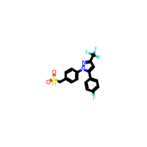 O=[SH](=O)Cc1ccc(-n2nc(C(F)(F)F)cc2-c2ccc(F)cc2)cc1